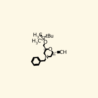 C#C[C@@H]1CN(Cc2ccccc2)C[C@@H](CO[Si](C)(C)C(C)(C)C)O1